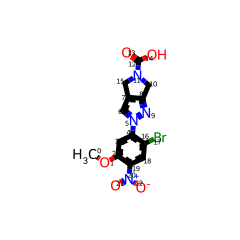 COc1cc(-n2cc3c(n2)CN(C(=O)O)C3)c(Br)cc1[N+](=O)[O-]